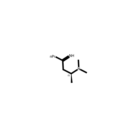 [CH2]CCC(=N)C[C@H](C)N(C)C